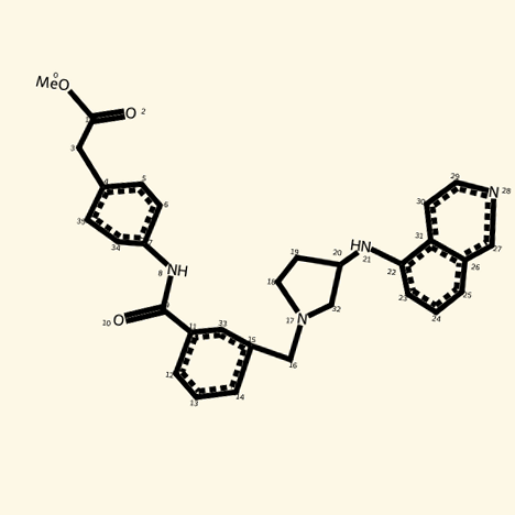 COC(=O)Cc1ccc(NC(=O)c2cccc(CN3CCC(Nc4cccc5cnccc45)C3)c2)cc1